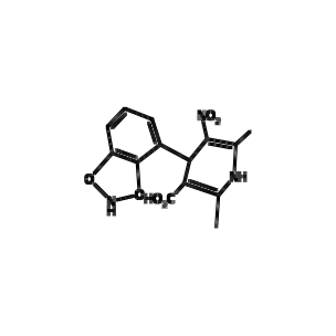 CC1=C(C(=O)O)C(c2cccc3c2ONO3)C([N+](=O)[O-])=C(C)N1